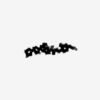 Cc1nc(N2CCC(N3CCCC3)CC2)nc2ccc(NC(=O)C=Cc3ccc(OC(F)(F)F)cc3F)cc12